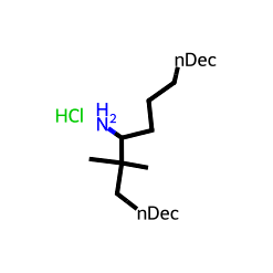 CCCCCCCCCCCCCC(N)C(C)(C)CCCCCCCCCCC.Cl